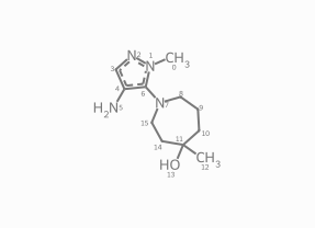 Cn1ncc(N)c1N1CCCC(C)(O)CC1